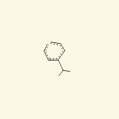 BrC(Br)c1ccncc1